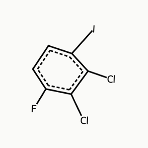 Fc1ccc(I)c(Cl)c1Cl